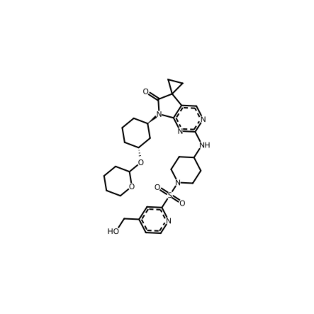 O=C1N([C@@H]2CCC[C@@H](OC3CCCCO3)C2)c2nc(NC3CCN(S(=O)(=O)c4cc(CO)ccn4)CC3)ncc2C12CC2